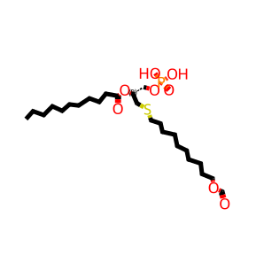 CCCCCCCCCCC(=O)O[C@H](COP(=O)(O)O)CSCCCCCCCCCCOC=O